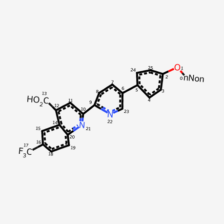 CCCCCCCCCOc1ccc(-c2ccc(-c3cc(C(=O)O)c4cc(C(F)(F)F)ccc4n3)nc2)cc1